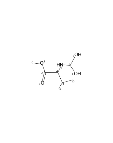 COC(=O)C(NC(O)O)C(C)C